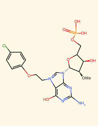 CO[C@@H]1[C@H](O)C(COP(=O)(O)O)O[C@H]1n1c[n+](CCOc2ccc(Cl)cc2)c2c(O)nc(N)nc21